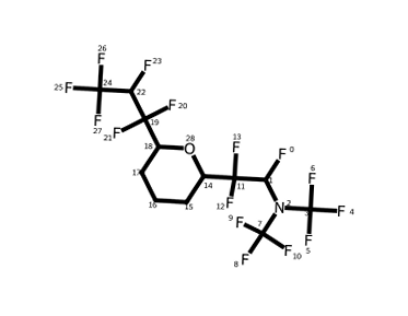 FC(N(C(F)(F)F)C(F)(F)F)C(F)(F)C1CCCC(C(F)(F)C(F)C(F)(F)F)O1